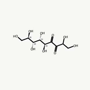 O=C(C(=O)[C@@H](O)[C@@H](O)[C@H](O)[C@H](O)CO)C(O)CO